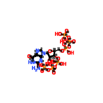 Nc1nc2c(ncn2[C@@H]2O[C@H](COP(=O)(O)OP(=O)(O)OP(=O)(O)O)[C@@H](OP(=O)(O)OP(=O)(O)OP(=O)(O)O)[C@H]2O)c(=O)[nH]1